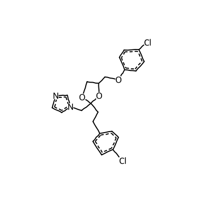 Clc1ccc(CCC2(Cn3ccnc3)OCC(COc3ccc(Cl)cc3)O2)cc1